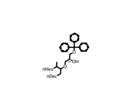 CCCCCCCCCCCC(OC[C@H](O)COC(c1ccccc1)(c1ccccc1)c1ccccc1)C(C)CCCCCC